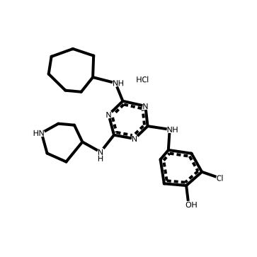 Cl.Oc1ccc(Nc2nc(NC3CCCCCC3)nc(NC3CCNCC3)n2)cc1Cl